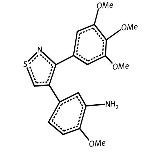 COc1ccc(-c2csnc2-c2cc(OC)c(OC)c(OC)c2)cc1N